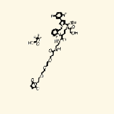 CC(C)(C)[C@H](c1cc(-c2cc(F)ccc2F)cn1Cc1ccccc1)N(CC[C@H](N)C(=O)NCCNC(=O)CCOCCOCCOCCN1C(=O)C=CC1=O)C(=O)CO.O=C(O)C(F)(F)F